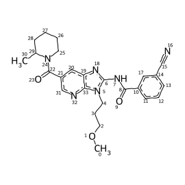 COCCCn1c(NC(=O)c2cccc(C#N)c2)nc2cc(C(=O)N3CCCCC3C)cnc21